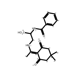 CC(NCC(NC(=O)c1ccccc1)C(=O)O)=C1C(=O)CC(C)(C)CC1=O